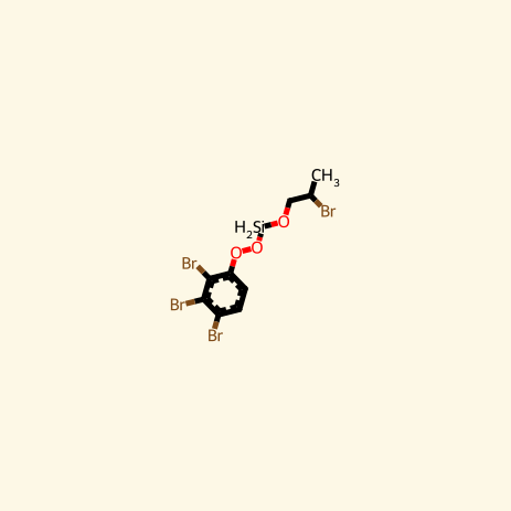 CC(Br)CO[SiH2]OOc1ccc(Br)c(Br)c1Br